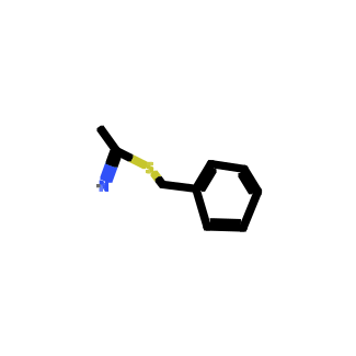 CC(=[N])SCc1ccccc1